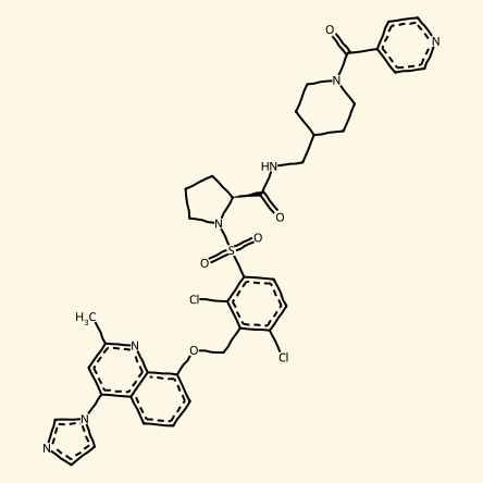 Cc1cc(-n2ccnc2)c2cccc(OCc3c(Cl)ccc(S(=O)(=O)N4CCC[C@H]4C(=O)NCC4CCN(C(=O)c5ccncc5)CC4)c3Cl)c2n1